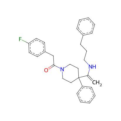 C=C(NCCCc1ccccc1)C1(c2ccccc2)CCN(C(=O)Cc2ccc(F)cc2)CC1